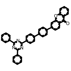 O=c1c2ccccc2oc2cc(-c3ccc(-c4ccc(-c5nc(-c6ccccc6)nc(-c6ccccc6)n5)cc4)cc3)ccc12